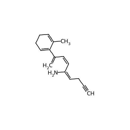 C#CC/C=C(N)\C=C/C(=C)C1=CCCC=C1C